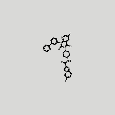 O=C(N[C@H]1CC[C@@H](n2c(=O)c3cc(F)cnc3n(-c3cccc(-c4ccccn4)c3)c2=O)CC1)c1cn2cc(F)ccc2n1